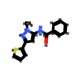 Cn1nc(-c2cccs2)cc1NC(=O)c1ccccc1